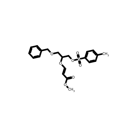 COC(=O)C=COC(COCc1ccccc1)COS(=O)(=O)c1ccc(C)cc1